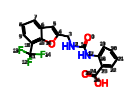 O=C(NCc1cc2cccc(C(F)(F)F)c2o1)Nc1ccccc1C(=O)O